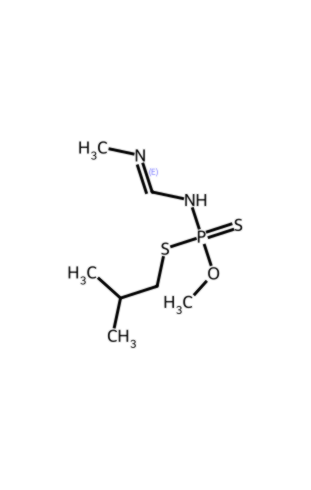 C/N=C/NP(=S)(OC)SCC(C)C